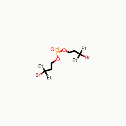 CCC(Br)(CC)CCO[PH](=O)OCCC(Br)(CC)CC